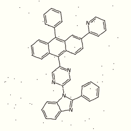 c1ccc(-c2c3ccccc3c(-c3cnc(-n4c(-c5ccccc5)nc5ccccc54)cn3)c3ccc(-c4ccccn4)cc23)cc1